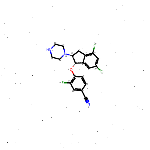 N#Cc1ccc(O[C@H]2c3cc(Cl)cc(Cl)c3C[C@@H]2N2CCNCC2)c(F)c1